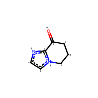 O=C1CCCn2ccnc21